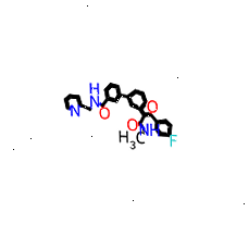 CNC(=O)c1c(-c2ccc(F)cc2)oc2ccc(-c3cccc(C(=O)NCc4ccccn4)c3)cc12